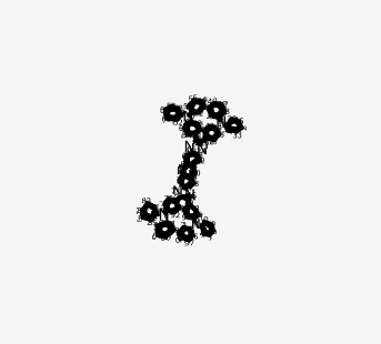 c1ccc(N(c2ccccc2)c2ccc(-c3nc4cc5cc6cc7nc(-c8ccc(N(c9ccccc9)c9ccccc9)cc8)c(-c8ccc(N(c9ccccc9)c9ccccc9)cc8)nc7cc6nc5cc4nc3-c3ccc(N(c4ccccc4)c4ccccc4)cc3)cc2)cc1